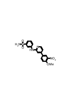 COc1ccc(-c2ccnc(Nc3cccc(S(N)(=O)=O)c3)c2)cc1[N+](=O)[O-]